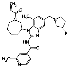 C=CC(=O)N1CCCCC(n2c(NC(=O)c3ccnc(C)c3)nc3cc(CN4CC[C@H](F)C4)cc(C)c32)C1